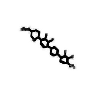 CCCCCC1CCC(c2ccc(-c3ccc(-c4ccc(C)c(F)c4F)cc3)c(F)c2F)OC1